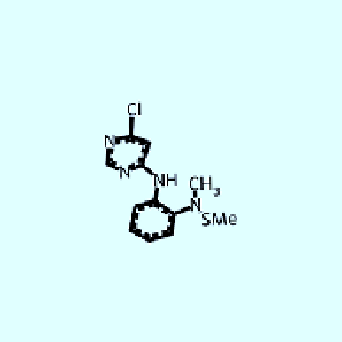 CSN(C)c1ccccc1Nc1cc(Cl)ncn1